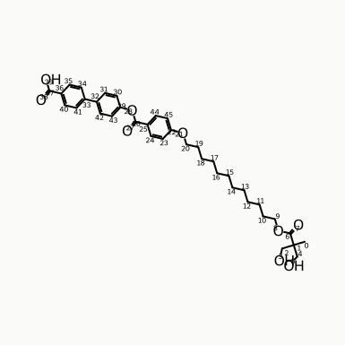 CC(CO)(CO)C(=O)OCCCCCCCCCCCCOc1ccc(C(=O)Oc2ccc(-c3ccc(C(=O)O)cc3)cc2)cc1